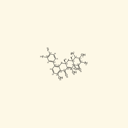 CC(=O)C1=C(O)C(C(C)C)[C@@]2(C)C[C@@]3(C)Cc4c(-c5ccc(F)c(F)c5)ccc(O)c4C(=O)C3=C(O)[C@@]2(O)C1=O